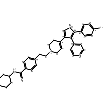 O=C(NC1CCCCC1)c1ccc(CCN2CC=C(c3c[nH]c(-c4ccc(F)cc4)c3-c3ccncc3)CC2)cc1